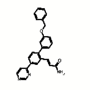 NC(=O)C=Cc1cc(-c2ccncn2)ccc1-c1cccc(OCc2ccccc2)c1